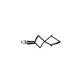 O=C1CC2(CCC2)C1